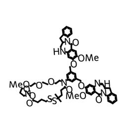 COCCOCCOCCN(C(=O)CCC(C)(C)SSCCCC(=O)ON1CCCO1)c1cc(COc2cc3c(cc2OC)C(=O)N2c4ccccc4C[C@H]2C=N3)cc(COc2cc3c(cc2OC)C(=O)N2c4ccccc4CC2CN3)c1